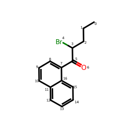 CCCC(Br)C(=O)c1cccc2ccccc12